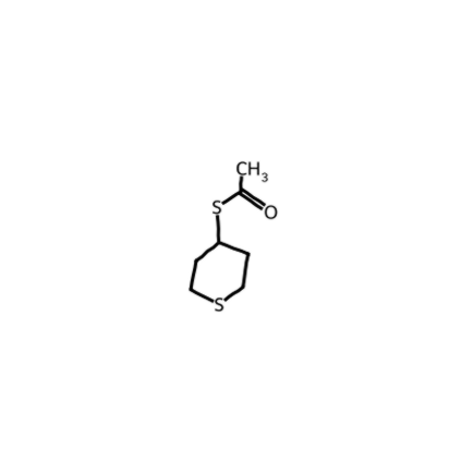 CC(=O)SC1CCSCC1